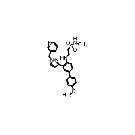 CNS(=O)(=O)CCNc1ccc(-c2ccc(OC)cc2)cc1-c1ccn(Cc2cccnc2)n1